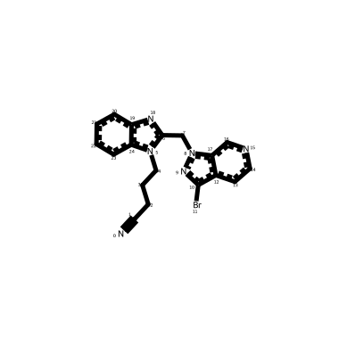 N#CCCCn1c(Cn2nc(Br)c3ccncc32)nc2ccccc21